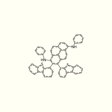 c1ccc(Nc2ccc3ccc4c(Nc5ccccc5)c(-c5cccc6c5sc5ccccc56)c(-c5cccc6c5sc5ccccc56)c5ccc2c3c45)cc1